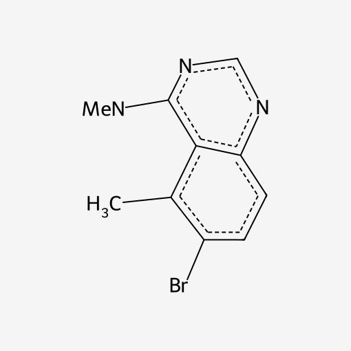 CNc1ncnc2ccc(Br)c(C)c12